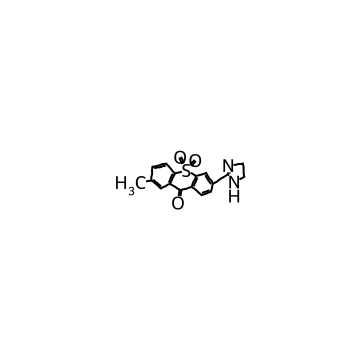 Cc1ccc2c(c1)C(=O)c1ccc(C3=NCCN3)cc1S2(=O)=O